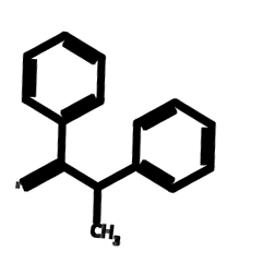 [C]=C(c1ccccc1)C(C)c1ccccc1